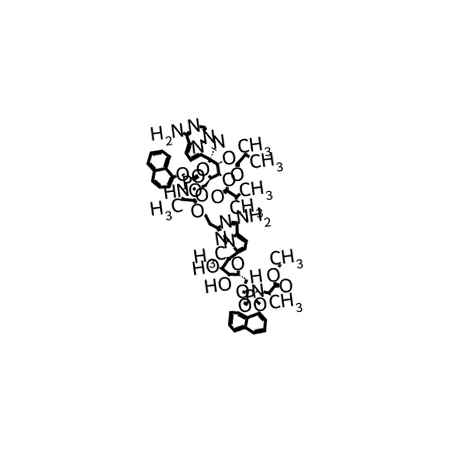 CCOC(=O)[C@H](C)N[P@](=O)(OC[C@H]1O[C@@](C)(c2ccc3c(N)nc(CCOC(=O)[C@H](C)N[P@](=O)(OC[C@H]4O[C@@](C#N)(c5ccc6c(N)ncnn56)[C@H](OC(=O)C(C)C)[C@@H]4OC(=O)C(C)C)Oc4cccc5ccccc45)nn23)[C@H](O)[C@@H]1O)Oc1cccc2ccccc12